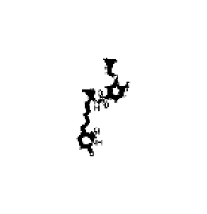 O=C1CCC(CCC/C=C/C2(NS(=O)(=O)c3ccc(F)c(OCC4CC4)c3)CC2)C(=O)N1